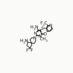 Cn1c(N2CCC3(CC2)CC(F)(F)C[C@H]3N)nc(N)c(Sc2cccnc2C(F)(F)F)c1=O